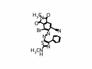 CNc1nc(-c2ccccc2)c(/N=N/c2c(C#N)cc3c(c2Br)C(=O)N(C)C3=O)s1